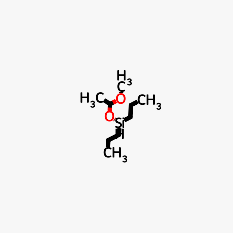 CCC[SiH](CCC)OC(C)OC